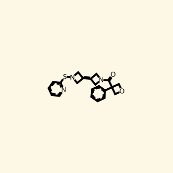 O=C(N1CC(=C2CN(Sc3ccccn3)C2)C1)C1(c2ccccc2)COC1